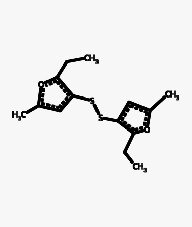 CCc1oc(C)cc1SSc1cc(C)oc1CC